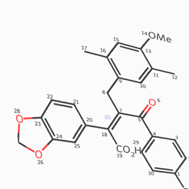 COc1ccc(C(=O)/C(Cc2cc(C)c(OC)cc2C)=C(\C(=O)O)c2ccc3c(c2)OCO3)cc1